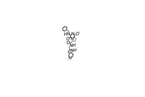 O=C(NCc1cc2cnccc2[nH]1)[C@@H]1CCc2c(Cl)nc(NCc3ccccc3)c(=O)n21